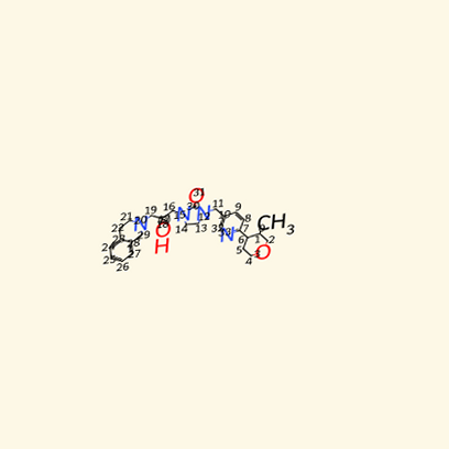 CC1COCCC1c1ccc(CN2CCN(C[C@H](O)CN3CCc4ccccc4C3)C2=O)cn1